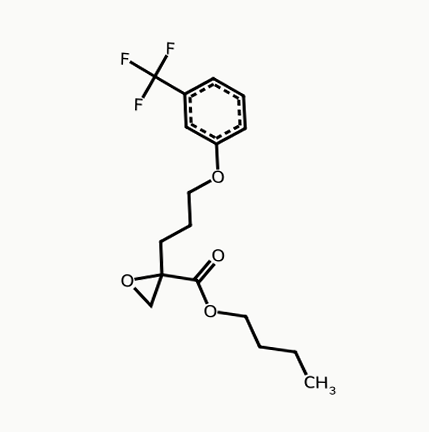 CCCCOC(=O)C1(CCCOc2cccc(C(F)(F)F)c2)CO1